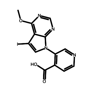 COc1ncnc2c1c(I)cn2-c1cnccc1C(=O)O